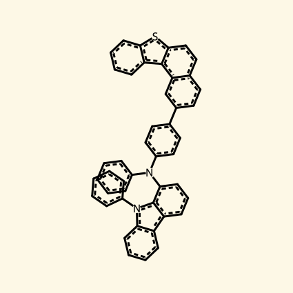 c1ccc(N(c2ccc(-c3ccc4ccc5sc6ccccc6c5c4c3)cc2)c2cccc3c4ccccc4n(-c4ccccc4)c23)cc1